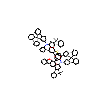 CC1(C)c2ccccc2-c2ccc(N(c3ccc4c(c3)C3(c5ccccc5-c5ccccc53)c3ccccc3-4)c3ccccc3-c3ccc4sc5c(-c6ccc7c(c6)C6(c8ccccc8-7)c7ccccc7-c7ccc(N(c8ccc9c(c8)C(C)(C)c8ccccc8-9)c8ccccc8-c8cccc9c8oc8ccccc89)cc76)cccc5c4c3)cc21